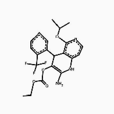 CCOC(=O)OC1=C(N)Nc2ccnc(OC(C)C)c2C1c1ccccc1C(F)(F)F